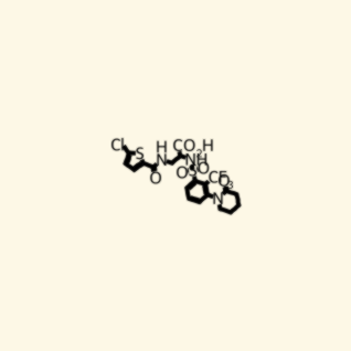 O=C(NCC(NS(=O)(=O)c1cccc(N2CCCCC2=O)c1C(F)(F)F)C(=O)O)c1ccc(Cl)s1